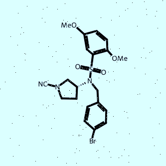 COc1ccc(OC)c(S(=O)(=O)N(Cc2ccc(Br)cc2)[C@@H]2CCN(C#N)C2)c1